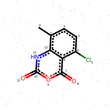 Cc1ccc(Cl)c2c(=O)oc(=O)[nH]c12